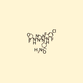 CC1(C(N)=O)CCC(n2c(Nc3c(F)cc(Cl)cc3F)nc3cnc(NC4CCOC[C@H]4F)nc32)CC1